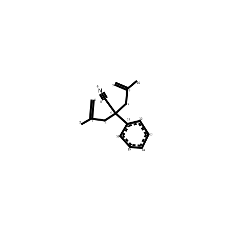 C=C(C)CC(C#N)(CC(=C)C)c1ccccc1